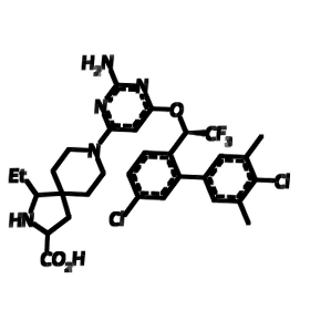 CCC1NC(C(=O)O)CC12CCN(c1cc(O[C@H](c3ccc(Cl)cc3-c3cc(C)c(Cl)c(C)c3)C(F)(F)F)nc(N)n1)CC2